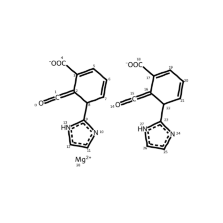 O=C=C1C(C(=O)[O-])=CC=CC1c1ncc[nH]1.O=C=C1C(C(=O)[O-])=CC=CC1c1ncc[nH]1.[Mg+2]